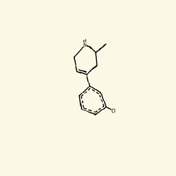 CC1CC(c2cccc(Cl)c2)=CCN1